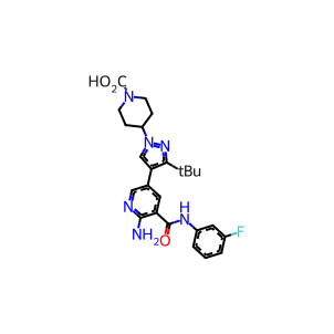 CC(C)(C)c1nn(C2CCN(C(=O)O)CC2)cc1-c1cnc(N)c(C(=O)Nc2cccc(F)c2)c1